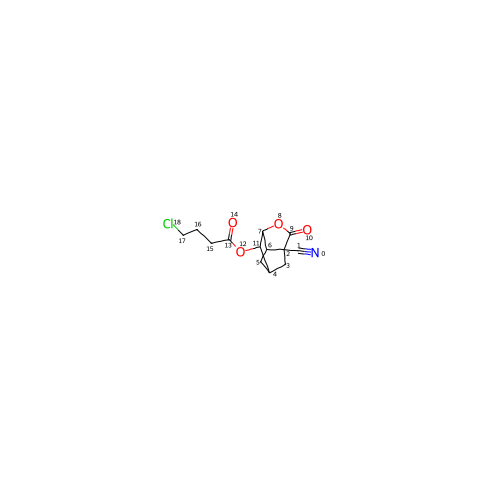 N#CC12CC3CC1C(OC2=O)C3OC(=O)CCCCl